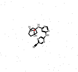 CN1[C@@H]2CC[C@H]1CC(Nc1cc(Nc3cnc(C#N)cn3)ncn1)C2